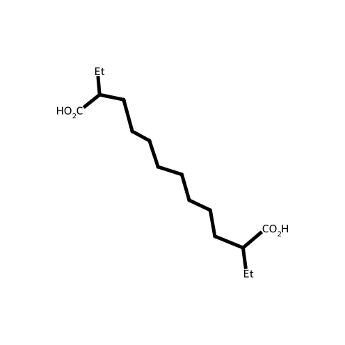 CCC(CCCCCCCCC(CC)C(=O)O)C(=O)O